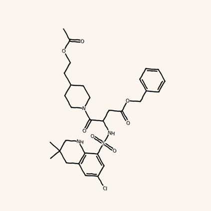 CC(=O)OCCC1CCN(C(=O)C(CC(=O)OCc2ccccc2)NS(=O)(=O)c2cc(Cl)cc3c2NCC(C)(C)C3)CC1